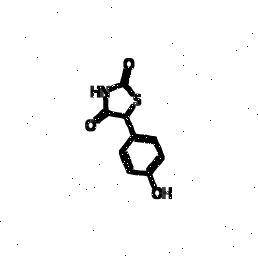 O=C1NC(=O)C(c2ccc(O)cc2)S1